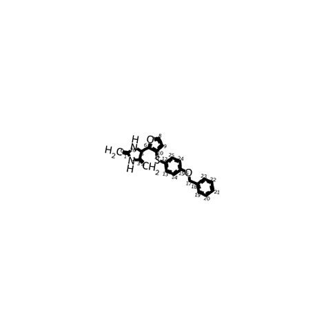 C=C1NC(=C)C(c2occc2Sc2ccc(OCc3ccccc3)cc2)N1